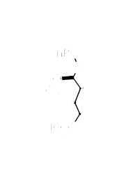 CCCOC(=O)CCCC(=O)O.[Cu]